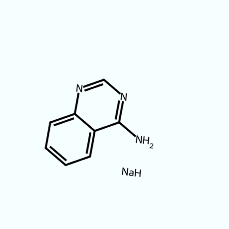 Nc1ncnc2ccccc12.[NaH]